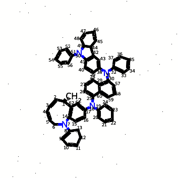 C=C1/C=C\C=C/CN(C2=CC=CCC2)c2ccc(N(c3ccccc3)c3cccc4c(N(c5ccccc5)c5ccc6c(c5)C5C=CC=CC5N6c5ccccc5)cccc34)cc21